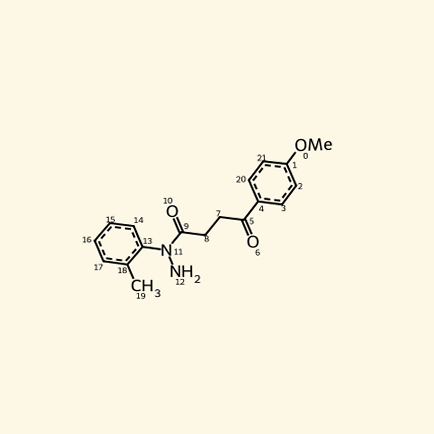 COc1ccc(C(=O)CCC(=O)N(N)c2ccccc2C)cc1